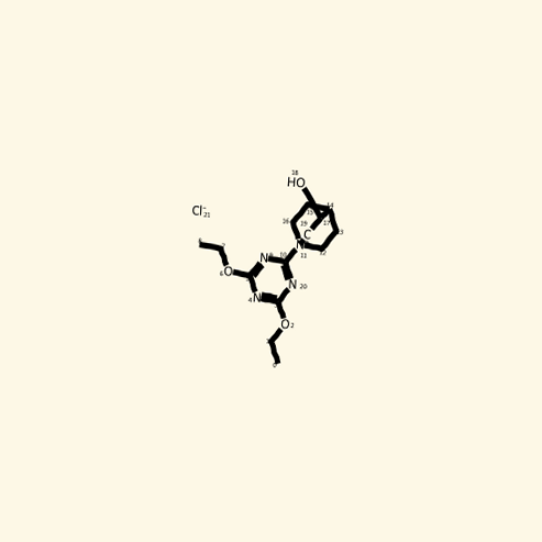 CCOc1nc(OCC)nc([N+]23CCC(CC2)C(O)C3)n1.[Cl-]